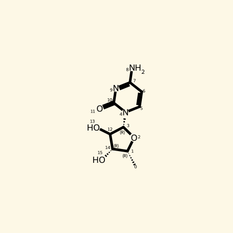 C[C@H]1O[C@@H](n2ccc(N)nc2=O)C(O)[C@H]1O